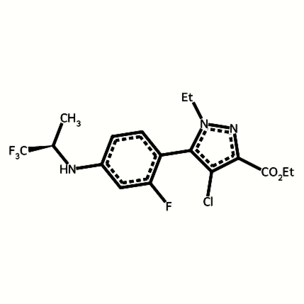 CCOC(=O)c1nn(CC)c(-c2ccc(N[C@H](C)C(F)(F)F)cc2F)c1Cl